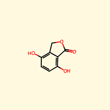 O=C1OCc2c(O)ccc(O)c21